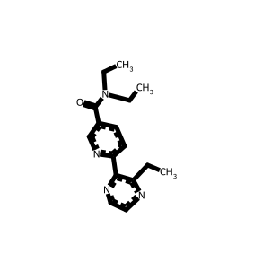 CCc1nccnc1-c1ccc(C(=O)N(CC)CC)cn1